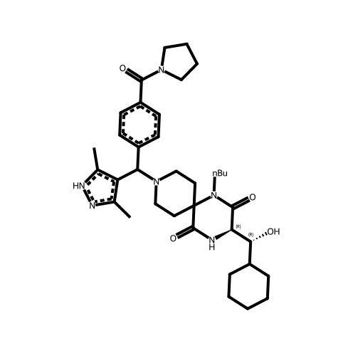 CCCCN1C(=O)[C@@H]([C@H](O)C2CCCCC2)NC(=O)C12CCN(C(c1ccc(C(=O)N3CCCC3)cc1)c1c(C)n[nH]c1C)CC2